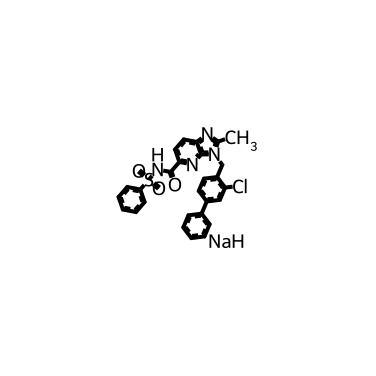 Cc1nc2ccc(C(=O)NS(=O)(=O)c3ccccc3)nc2n1Cc1ccc(-c2ccccc2)cc1Cl.[NaH]